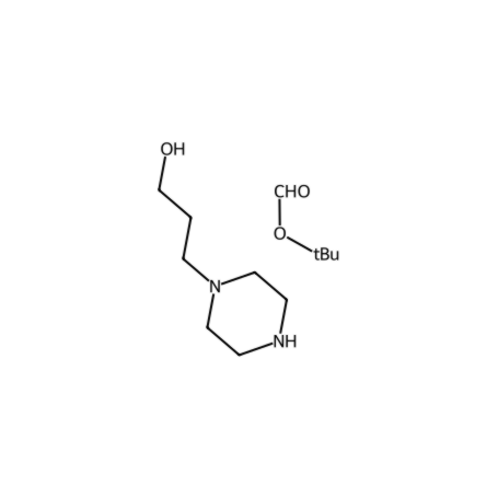 CC(C)(C)OC=O.OCCCN1CCNCC1